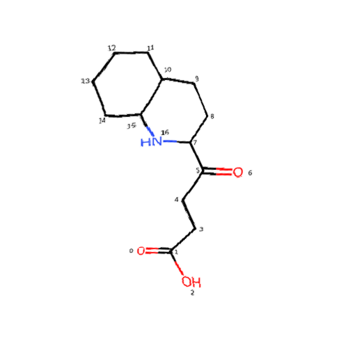 O=C(O)CCC(=O)C1CCC2CCCCC2N1